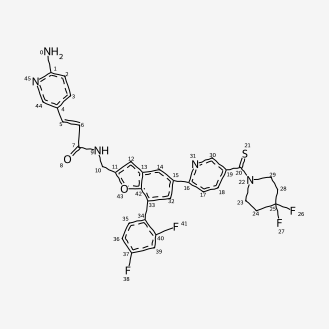 Nc1ccc(C=CC(=O)NCc2cc3cc(-c4ccc(C(=S)N5CCC(F)(F)CC5)cn4)cc(-c4ccc(F)cc4F)c3o2)cn1